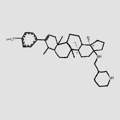 CC1C(c2ccc(C(=O)O)cc2)=CCC2(C)C1CCC1(C)C2CCC2[C@H]3CCCC3(NCC3CCCNC3)CC[C@]21C